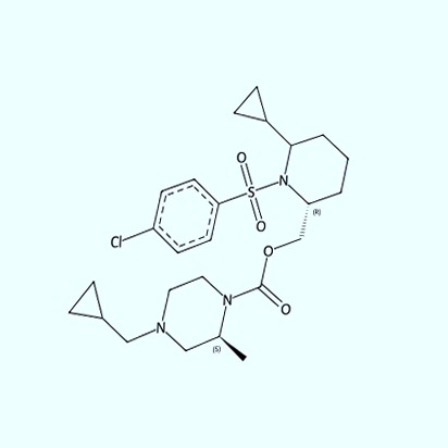 C[C@H]1CN(CC2CC2)CCN1C(=O)OC[C@H]1CCCC(C2CC2)N1S(=O)(=O)c1ccc(Cl)cc1